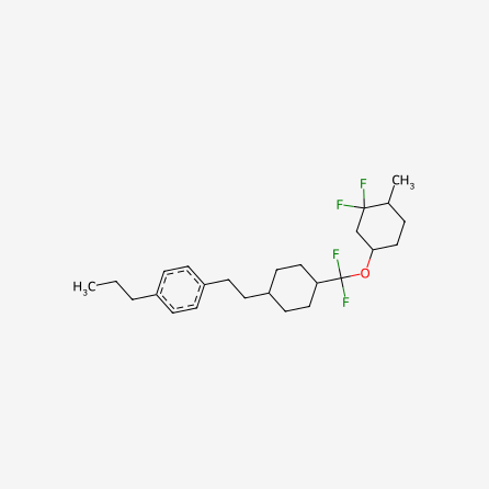 CCCc1ccc(CCC2CCC(C(F)(F)OC3CCC(C)C(F)(F)C3)CC2)cc1